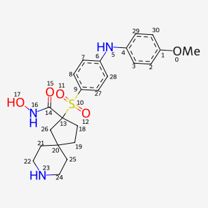 COc1ccc(Nc2ccc(S(=O)(=O)C3(C(=O)NO)CCC4(CCNCC4)C3)cc2)cc1